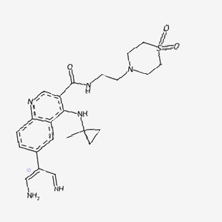 CC1(Nc2c(C(=O)NCCN3CCS(=O)(=O)CC3)cnc3ccc(/C(C=N)=C/N)cc23)CC1